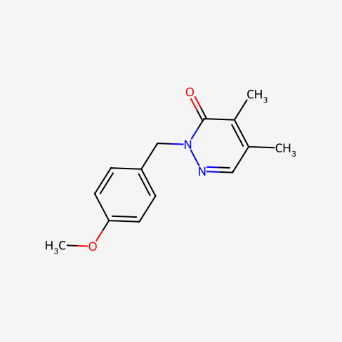 COc1ccc(Cn2ncc(C)c(C)c2=O)cc1